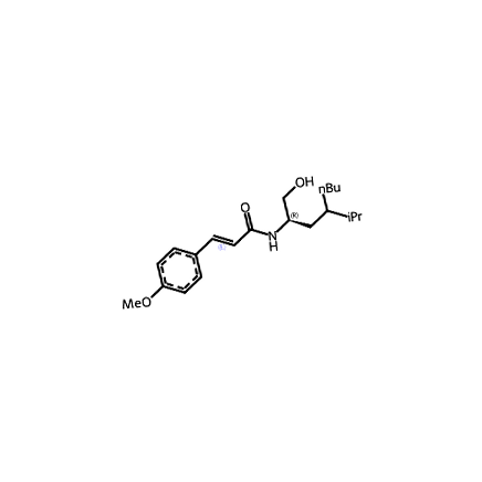 CCCCC(C[C@H](CO)NC(=O)/C=C/c1ccc(OC)cc1)C(C)C